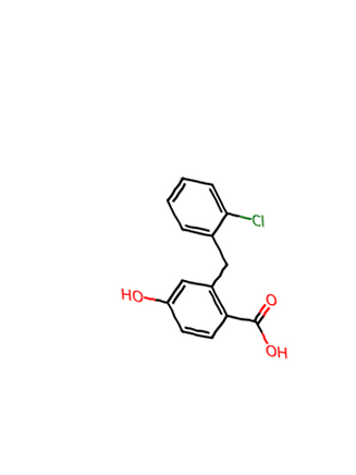 O=C(O)c1ccc(O)cc1Cc1ccccc1Cl